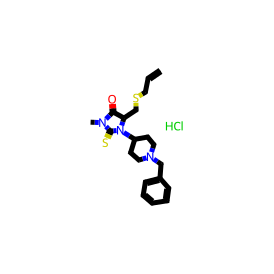 C=CCSCC1C(=O)N(C)C(=S)N1C1CCN(Cc2ccccc2)CC1.Cl